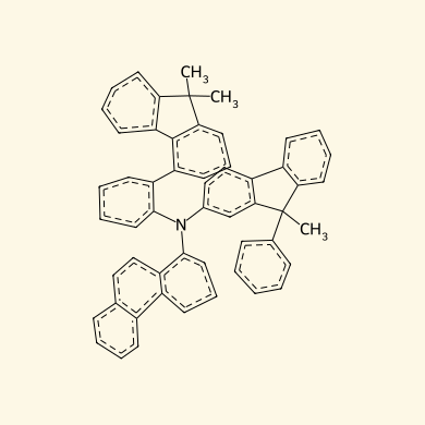 CC1(C)c2ccccc2-c2c(-c3ccccc3N(c3ccc4c(c3)C(C)(c3ccccc3)c3ccccc3-4)c3cccc4c3ccc3ccccc34)cccc21